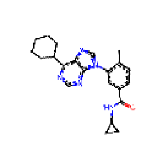 Cc1ccc(C(=O)NC2CC2)cc1-n1cnc2c(C3CCCCC3)ncnc21